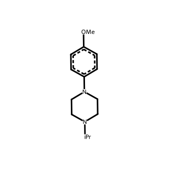 [CH2]Oc1ccc(N2CCN(C(C)C)CC2)cc1